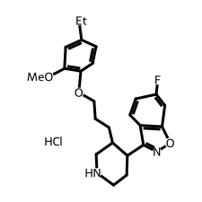 CCc1ccc(OCCCC2CNCCC2c2noc3cc(F)ccc23)c(OC)c1.Cl